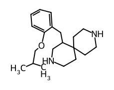 CC(C)COc1ccccc1CC1CNCCC12CCNCC2